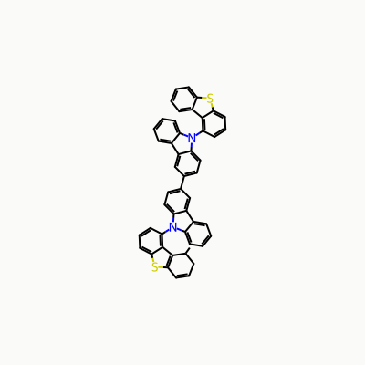 CC1CC=Cc2sc3cccc(-n4c5ccccc5c5cc(-c6ccc7c(c6)c6ccccc6n7-c6cccc7sc8ccccc8c67)ccc54)c3c21